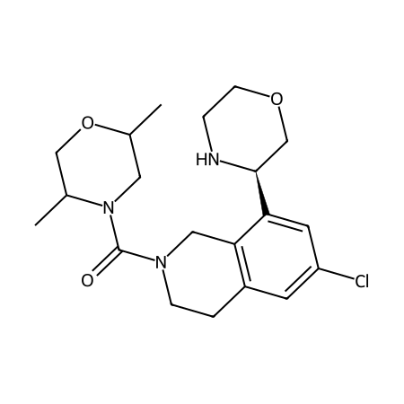 CC1CN(C(=O)N2CCc3cc(Cl)cc([C@@H]4COCCN4)c3C2)C(C)CO1